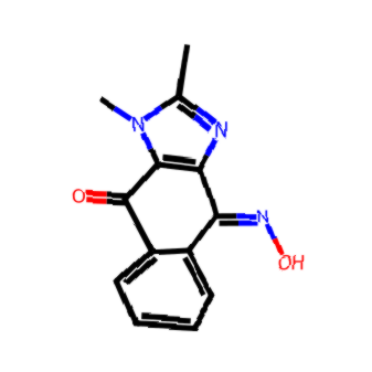 Cc1nc2c(n1C)C(=O)c1ccccc1C2=NO